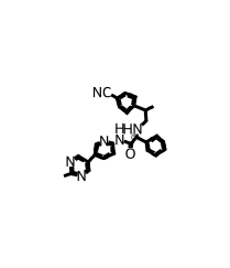 Cc1ncc(-c2ccc(NC(=O)[C@@H](NCC(C)c3ccc(C#N)cc3)c3ccccc3)nc2)cn1